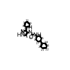 O=C(Nc1c[nH]nc1-c1ccccc1)NC1CCC(c2ccccc2)CC1